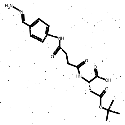 CC(C)(C)OC(=O)C[C@H](NC(=O)CCC(=O)Nc1ccc(C=NN)cc1)C(=O)O